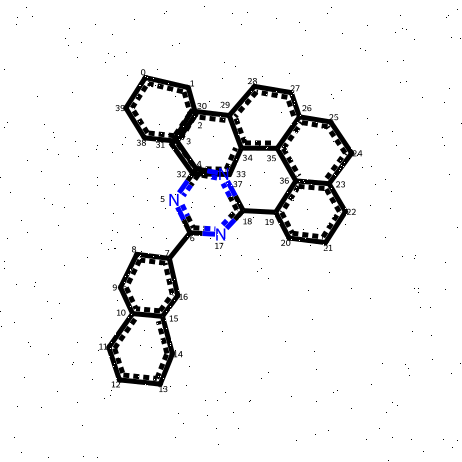 c1ccc(-c2nc(-c3ccc4ccccc4c3)nc(-c3cccc4ccc5ccc6ccccc6c5c34)n2)cc1